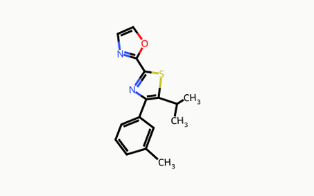 Cc1cccc(-c2nc(-c3ncco3)sc2C(C)C)c1